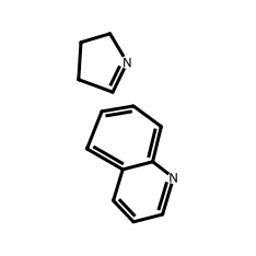 C1=NCCC1.c1ccc2ncccc2c1